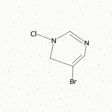 ClN1C=NC=C(Br)C1